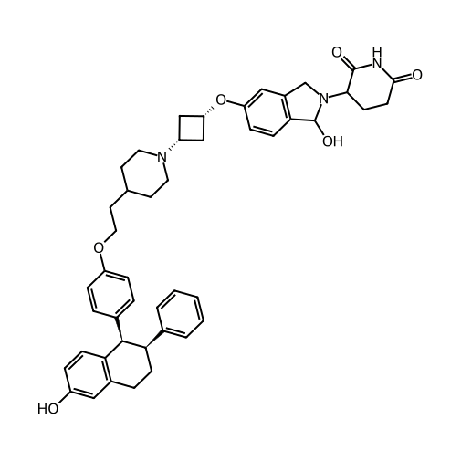 O=C1CCC(N2Cc3cc(O[C@H]4C[C@@H](N5CCC(CCOc6ccc([C@@H]7c8ccc(O)cc8CC[C@@H]7c7ccccc7)cc6)CC5)C4)ccc3C2O)C(=O)N1